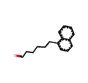 O=CCCCCCc1cccc2ccccc12